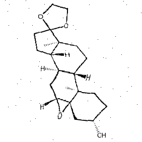 C[C@]12CC[C@H]3[C@@H](C[C@H]4O[C@]45C[C@@H](O)CC[C@]35C)[C@@H]1CCC21OCCO1